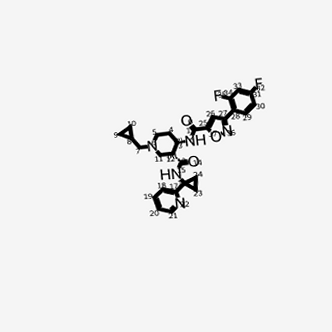 O=C(N[C@@H]1CCN(CC2CC2)C[C@H]1C(=O)NC1(c2ccccn2)CC1)c1cc(-c2ccc(F)cc2F)no1